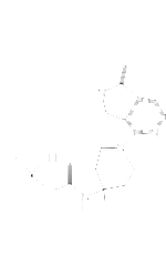 CC1(NC(=O)OC(C)(C)C)CCN(c2nccc3c2CNC3=O)CC1